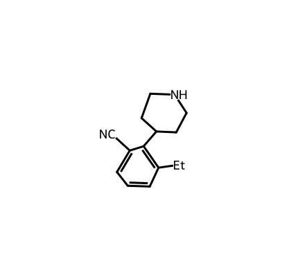 CCc1cccc(C#N)c1C1CCNCC1